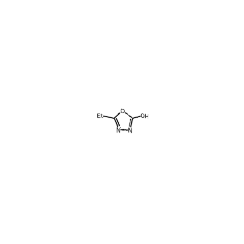 CCc1nnc(O)o1